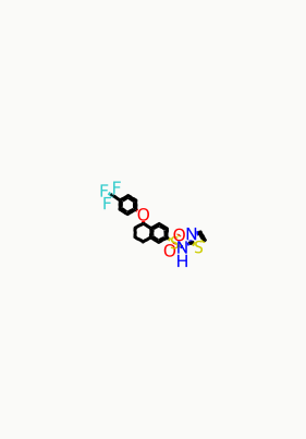 O=S(=O)(Nc1nccs1)c1ccc2c(c1)CCCC2Oc1ccc(C(F)(F)F)cc1